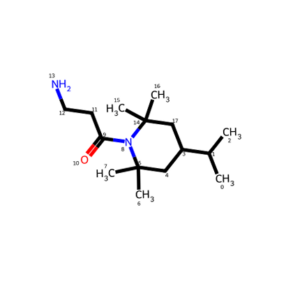 CC(C)C1CC(C)(C)N(C(=O)CCN)C(C)(C)C1